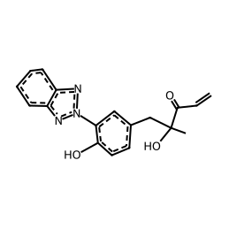 C=CC(=O)C(C)(O)Cc1ccc(O)c(-n2nc3ccccc3n2)c1